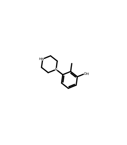 Cc1c(O)cccc1N1CCNCC1